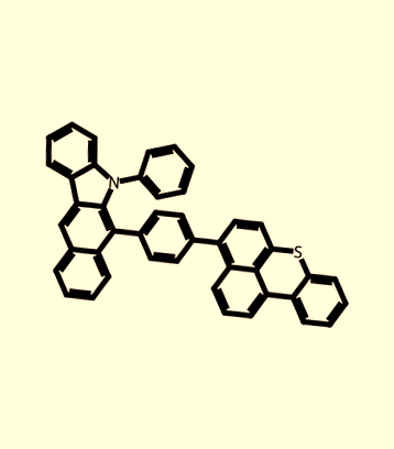 c1ccc(-n2c3ccccc3c3cc4ccccc4c(-c4ccc(-c5ccc6c7c(cccc57)-c5ccccc5S6)cc4)c32)cc1